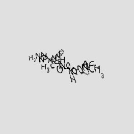 CC(=O)N1c2ccc(-c3ccc(NC(=O)CNC(=O)c4sc5c(N6CCOCC6)nc(-c6cnc(N)nc6)nc5c4C)cc3)cc2CC[C@@H]1C